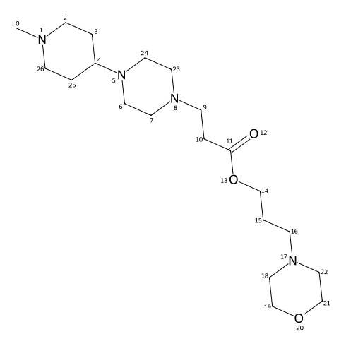 CN1CCC(N2CCN(CCC(=O)OCCCN3CCOCC3)CC2)CC1